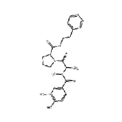 CC(C(=O)N1CCCC1C(=O)SCCc1ccncc1)N(C)C(=O)c1ccc(O)c(O)c1